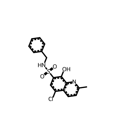 Cc1ccc2c(Cl)cc(S(=O)(=O)NCc3ccccc3)c(O)c2n1